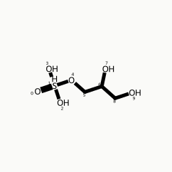 O=[SH](O)(O)OCC(O)CO